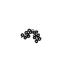 Cc1ccccc1-c1cccc2c1oc1c(N(c3ccccc3C)c3cc4c5cc6c7c(cccc7c5oc4c4ccccc34)-c3ccccc3N6c3cccc4c3oc3c(-c5ccccc5C)cccc34)cccc12